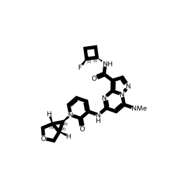 CNc1cc(Nc2cccn([C@H]3[C@@H]4COC[C@@H]43)c2=O)nc2c(C(=O)N[C@H]3CC[C@@H]3F)cnn12